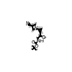 CC(C)(C)OC(=O)NCC(=O)C1CC1N1CC(C#N)C1